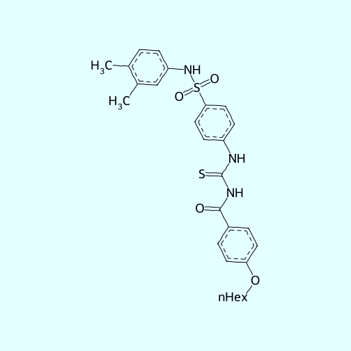 CCCCCCOc1ccc(C(=O)NC(=S)Nc2ccc(S(=O)(=O)Nc3ccc(C)c(C)c3)cc2)cc1